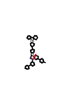 C=C/C=C(\C=C/N(C1=CC=C(c2ccc(C)cc2)CC1)c1ccc(-c2ccc(-n3c4c(c5ccccc53)C=CCC4)cc2)cc1)c1cccc(-c2ccccc2)c1